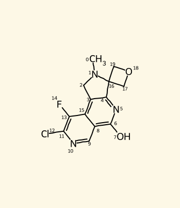 CN1Cc2c(nc(O)c3cnc(Cl)c(F)c23)C12COC2